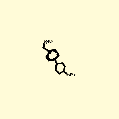 CCCC1CC=C(c2ccc(CC(C)CC)cc2)CC1